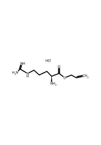 C=CCOC(=O)[C@@H](N)CCCNC(=N)N.Cl